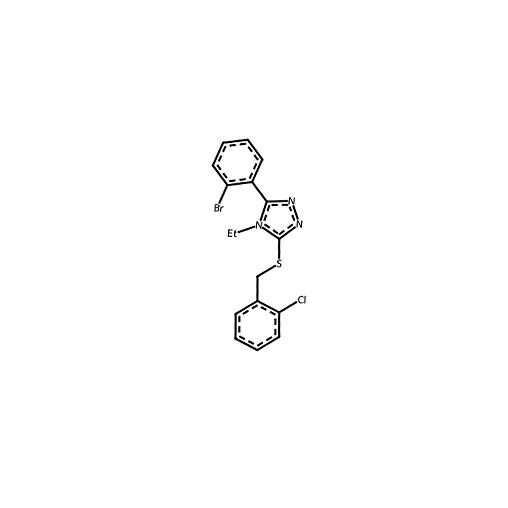 CCn1c(SCc2ccccc2Cl)nnc1-c1ccccc1Br